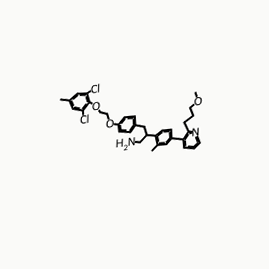 COCCCc1ncccc1-c1ccc(C(CN)Cc2ccc(OCCOc3c(Cl)cc(C)cc3Cl)cc2)c(C)c1